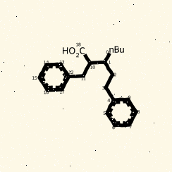 CCCCC(CCc1ccccc1)C(Cc1ccccc1)C(=O)O